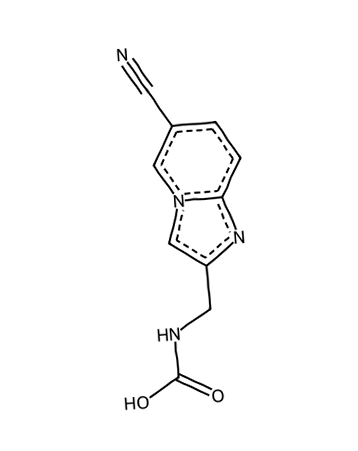 N#Cc1ccc2nc(CNC(=O)O)cn2c1